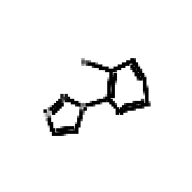 Fc1[c]ccnc1-n1ccnn1